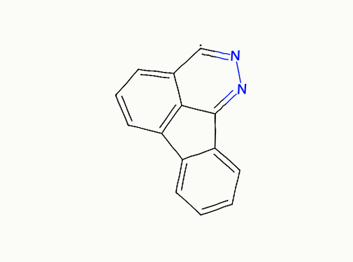 [c]1nnc2c3c(cccc13)-c1ccccc1-2